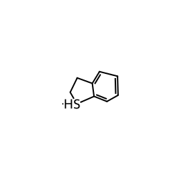 c1ccc2c(c1)CC[SH]2